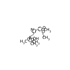 CCCOc1cc(-c2cncc([C@H](CO)CB3O[C@@H](C)CC(C)(C)O3)c2)ccc1OC